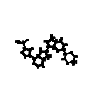 CC(=O)c1ccc(-c2ccnc3[nH]c(-c4n[nH]c5ncc(C6CCNCC6)cc45)nc23)s1